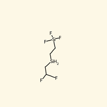 FC(F)C[SiH2]CC[Si](F)(F)F